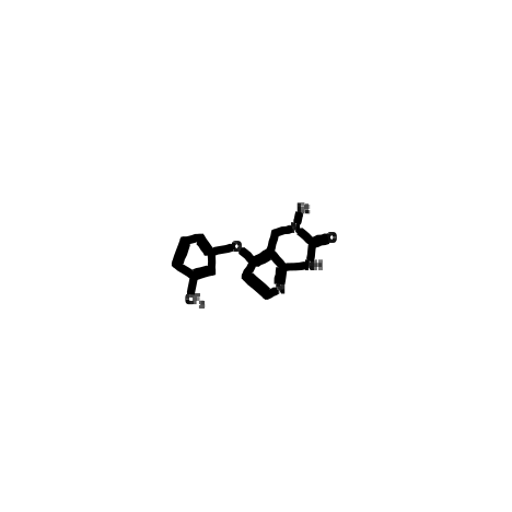 CCN1Cc2c(Oc3cccc(C(F)(F)F)c3)ccnc2NC1=O